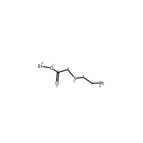 CCOC(=O)CSCCC(C)C